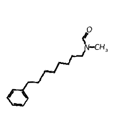 CN(C=O)CCCCCCCCc1ccccc1